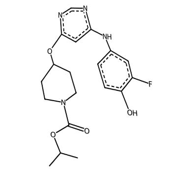 CC(C)OC(=O)N1CCC(Oc2cc(Nc3ccc(O)c(F)c3)ncn2)CC1